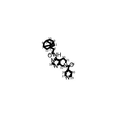 O=C(CC12CC3CC(CC(C3)C1)C2)Nc1ncnc2c1CCN(C(=O)c1ccncc1)C2